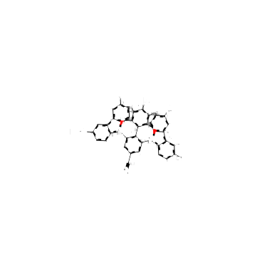 Cc1ccc2c(c1)c1cc(C)ccc1n2-c1cc(C#N)cc(-n2c3ccc(C)cc3c3cc(C)ccc32)c1-c1c(F)c(F)c(F)c(F)c1F